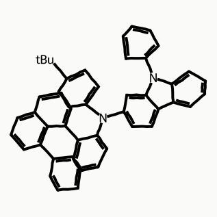 CC(C)(C)C1=CC=C(N(c2ccc3c4ccccc4n(-c4ccccc4)c3c2)c2ccccc2-c2cccc3cccc(-c4ccccc4)c23)CC1